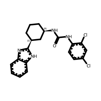 O=C(Nc1ccc(Cl)cc1Cl)N[C@@H]1CCC[C@H](c2nc3ccccc3[nH]2)C1